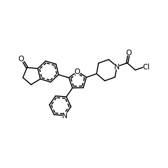 O=C1CCc2cc(-c3oc(C4CCN(C(=O)CCl)CC4)cc3-c3cccnc3)ccc21